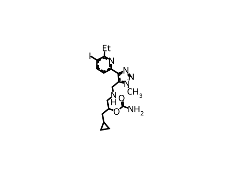 CCc1nc(-c2nnn(C)c2CNCC(CC2CC2)OC(N)=O)ccc1I